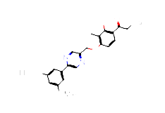 COc1cc(C(=O)O)cc(-c2cnc(COc3ccc(C(=O)CC(C)(C)C)c(O)c3C)cn2)c1